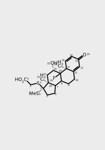 CS[C@@]1(SCC(=O)O)CCC2C3CCC4=CC(=O)C=C[C@]4(C)C3(F)[C@@H](O)C[C@@]21C